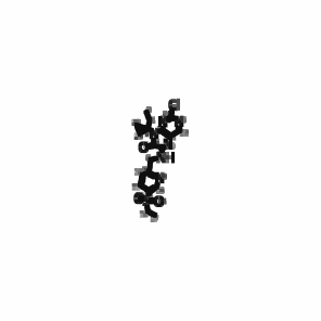 CCC1(n2c(=O)c(NCc3ccc(S(=O)(=O)CC)cn3)nc3cnc(Cl)nc32)CC1